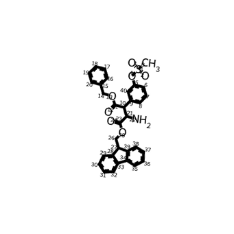 CS(=O)(=O)Oc1cccc(C(C(=O)OCc2ccccc2)C(N)C(=O)OCC2c3ccccc3-c3ccccc32)c1